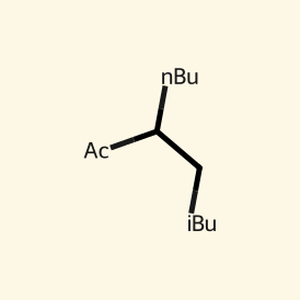 CCCCC(CC(C)CC)C(C)=O